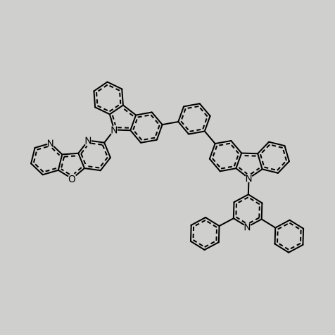 c1ccc(-c2cc(-n3c4ccccc4c4cc(-c5cccc(-c6ccc7c(c6)c6ccccc6n7-c6ccc7oc8cccnc8c7n6)c5)ccc43)cc(-c3ccccc3)n2)cc1